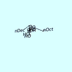 CCCCCCCC/C=C\CCCCCCCC(=O)O[C@H](CO/C=C\CCCCCCCCCCCCCC)COP(=O)(O)OC[C@@H](O)CO